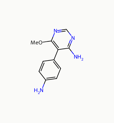 COc1ncnc(N)c1-c1ccc(N)cc1